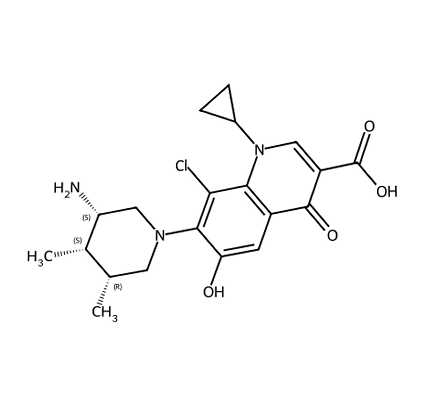 C[C@@H]1[C@H](N)CN(c2c(O)cc3c(=O)c(C(=O)O)cn(C4CC4)c3c2Cl)C[C@@H]1C